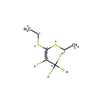 CCSC(SCC)=C(F)C(F)(F)F